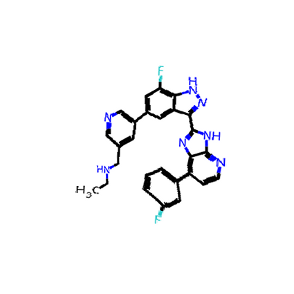 CCNCc1cncc(-c2cc(F)c3[nH]nc(-c4nc5c(-c6cccc(F)c6)ccnc5[nH]4)c3c2)c1